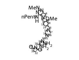 CCCCCNc1nc(NC)nc2ccn(Cc3ccc(CN4CCN(CCN(N)/C=C(\N)CN5C(=O)C=CC5=O)CC4)cc3OC)c12